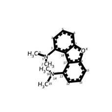 CN(C)c1cccc2oc3cccc(N(C)C)c3c12